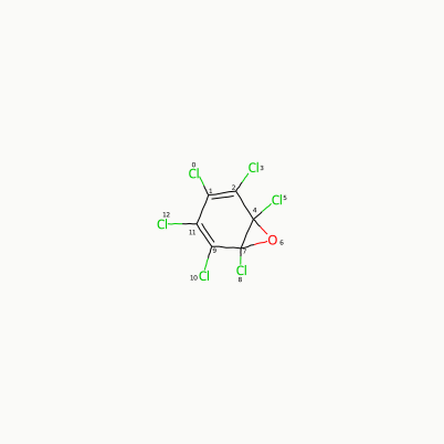 ClC1=C(Cl)C2(Cl)OC2(Cl)C(Cl)=C1Cl